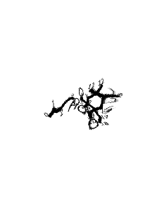 CCCCOC(=O)C1(C)CC(C)(C)C(C)CC1(CC)C(=O)O